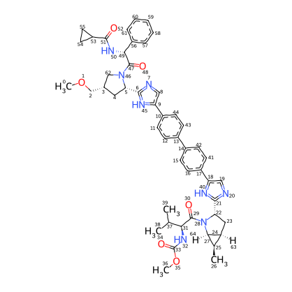 COC[C@H]1C[C@@H](c2ncc(-c3ccc(-c4ccc(-c5cnc([C@@H]6C[C@H]7[C@@H](C)[C@H]7N6C(=O)[C@@H](NC(=O)OC)C(C)C)[nH]5)cc4)cc3)[nH]2)N(C(=O)[C@H](NC(=O)C2CC2)c2ccccc2)C1